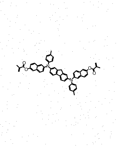 C=C(C)C(=O)Oc1ccc2cc(N(c3ccc(C)cc3)c3ccc4c(c3)Cc3cc(N(c5ccc(C)cc5)c5ccc6cc(OC(=O)C(=C)C)ccc6c5)ccc3-4)ccc2c1